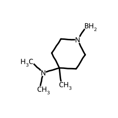 BN1CCC(C)(N(C)C)CC1